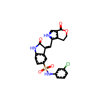 O=C1Nc2ccc(S(=O)(=O)Nc3cccc(Cl)c3)cc2C1=Cc1[nH]cc2c1CCOC2=O